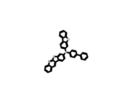 c1ccc(-c2ccc(N(c3ccc4c(c3)oc3ccccc34)c3ccc4c(c3)sc3nc5ccccc5cc34)cc2)cc1